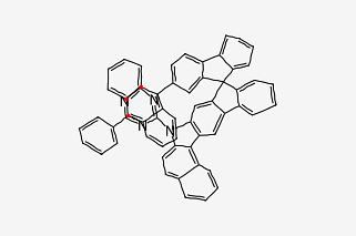 c1ccc(-c2c3ccccc3c(-c3ccc4c(c3)C3(c5ccccc5-4)c4ccccc4-c4cc5c6c7ccccc7ccc6n(-c6ncncn6)c5cc43)c3ccccc23)cc1